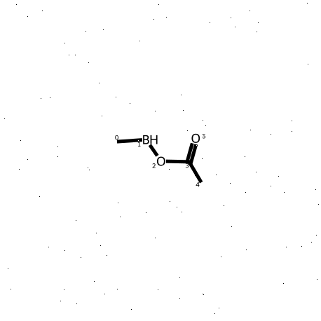 CBOC(C)=O